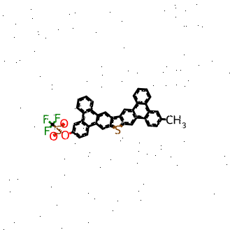 Cc1ccc2c(c1)c1ccccc1c1cc3c(cc21)sc1cc2c4ccc(OS(=O)(=O)C(F)(F)F)cc4c4ccccc4c2cc13